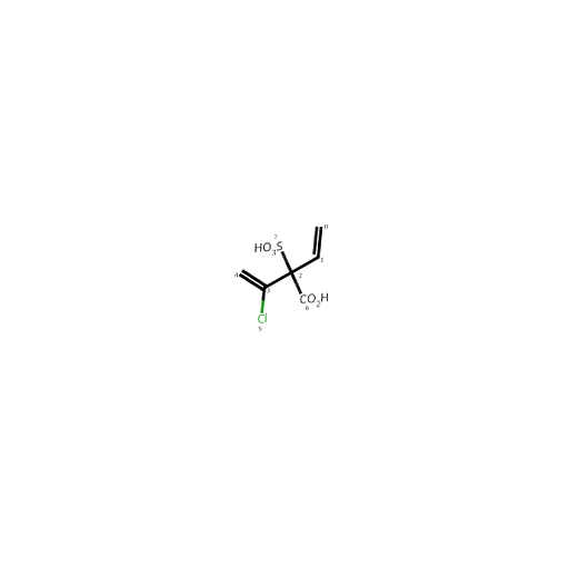 C=CC(C(=C)Cl)(C(=O)O)S(=O)(=O)O